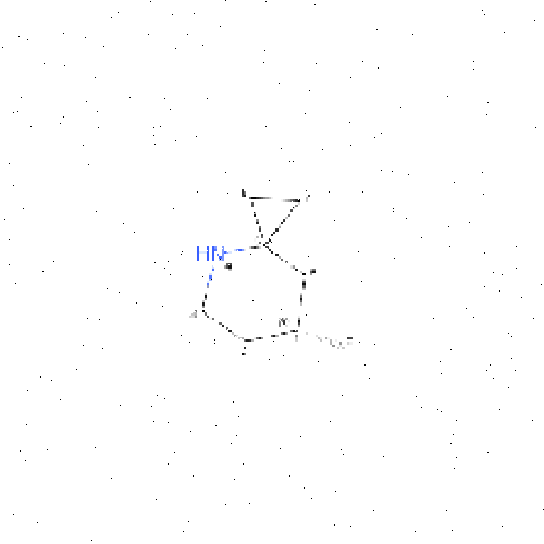 C[C@@H]1CCNC2(CC2)C1